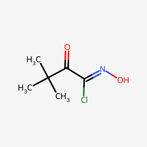 CC(C)(C)C(=O)/C(Cl)=N/O